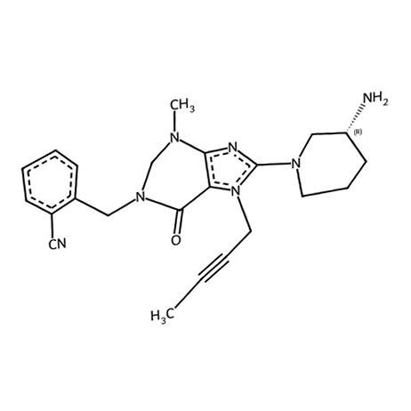 CC#CCn1c(N2CCC[C@@H](N)C2)nc2c1C(=O)N(Cc1ccccc1C#N)CN2C